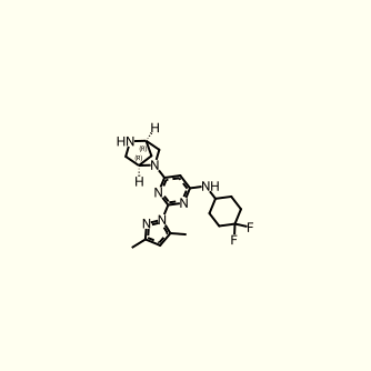 Cc1cc(C)n(-c2nc(NC3CCC(F)(F)CC3)cc(N3C[C@H]4C[C@@H]3CN4)n2)n1